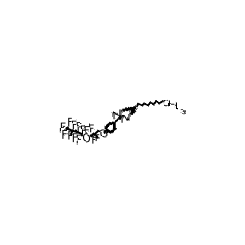 CCCCCCCCCCc1cnc(-c2ccc(OCC(F)(F)C(F)(F)OC(F)(F)C(F)(F)C(F)(F)C(F)(F)F)cc2)nc1